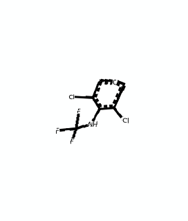 FC(F)(F)Nc1c(Cl)cccc1Cl